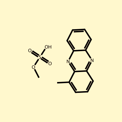 COS(=O)(=O)O.Cc1cccc2nc3ccccc3nc12